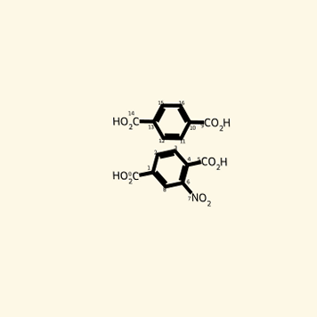 O=C(O)c1ccc(C(=O)O)c([N+](=O)[O-])c1.O=C(O)c1ccc(C(=O)O)cc1